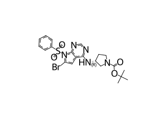 CC(C)(C)OC(=O)N1CC[C@@H](Nc2ncnc3c2cc(Br)n3S(=O)(=O)c2ccccc2)C1